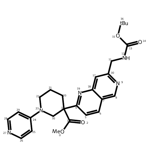 COC(=O)C1(c2ccc3cnc(CNC(=O)OC(C)(C)C)cc3n2)CCCN(c2ccncc2)C1